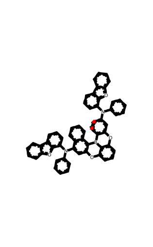 c1ccc(N(c2cc3c(c4ccccc24)B2c4c(cccc4Oc4cc(N(c5ccccc5)c5cccc6c5oc5ccccc56)c5ccccc5c42)O3)c2cccc3c2oc2ccccc23)cc1